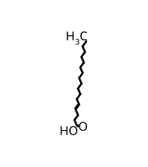 CCCCCCCCCCCCCC=CCCC(=O)O